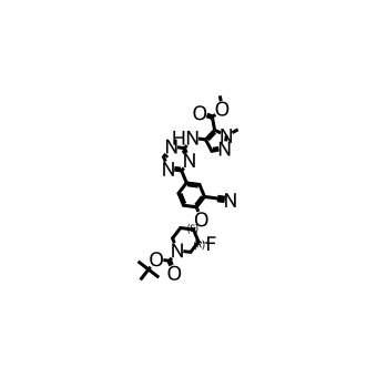 COC(=O)c1c(Nc2ncnc(-c3ccc(O[C@H]4CCN(C(=O)OC(C)(C)C)C[C@H]4F)c(C#N)c3)n2)cnn1C